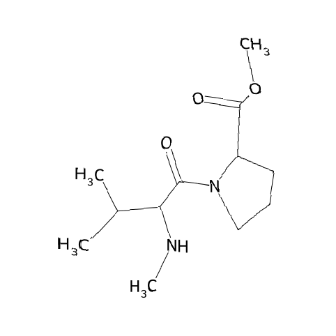 CNC(C(=O)N1CCCC1C(=O)OC)C(C)C